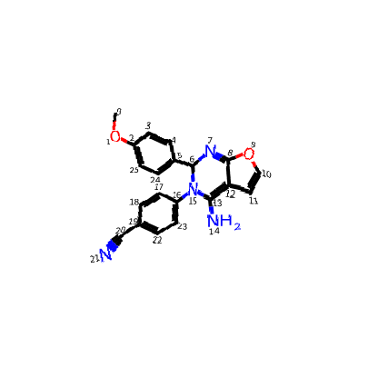 COc1ccc(C2N=c3occc3=C(N)N2c2ccc(C#N)cc2)cc1